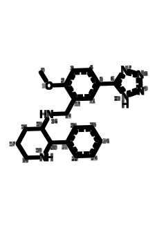 COc1ccc(-c2nnn[nH]2)cc1CNC1CCCNC1c1ccccc1